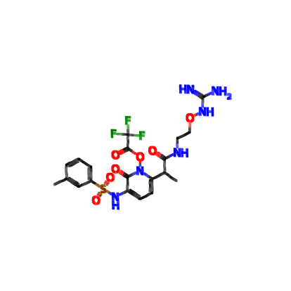 Cc1cccc(S(=O)(=O)Nc2ccc(C(C)C(=O)NCCONC(=N)N)n(OC(=O)C(F)(F)F)c2=O)c1